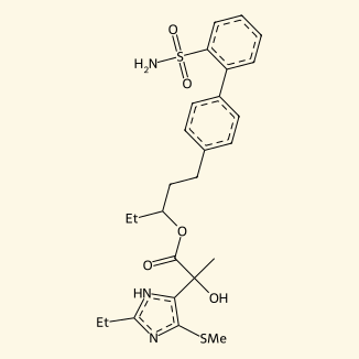 CCc1nc(SC)c(C(C)(O)C(=O)OC(CC)CCc2ccc(-c3ccccc3S(N)(=O)=O)cc2)[nH]1